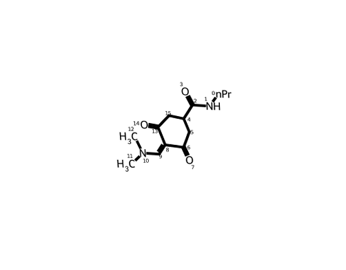 CCCNC(=O)C1CC(=O)C(=CN(C)C)C(=O)C1